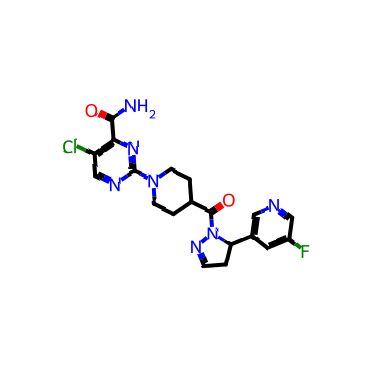 NC(=O)c1nc(N2CCC(C(=O)N3N=CCC3c3cncc(F)c3)CC2)ncc1Cl